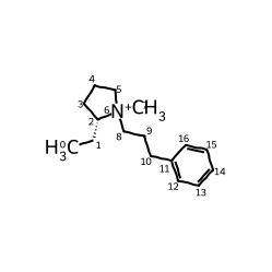 CC[C@@H]1CCC[N+]1(C)CCCc1ccccc1